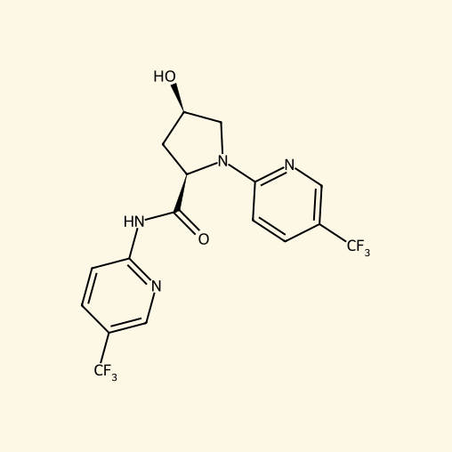 O=C(Nc1ccc(C(F)(F)F)cn1)[C@H]1C[C@@H](O)CN1c1ccc(C(F)(F)F)cn1